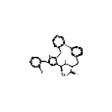 CNC(=O)C(Cc1cccc(Br)c1)NC(=O)c1cc(-c2ccccc2F)nn1Cc1ccccc1